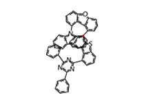 c1ccc(-c2nc(-c3ccccc3)nc(-c3cccc4sc5c(-c6cccc7oc8cccc(-n9c%10ccccc%10c%10ccccc%109)c8c67)cccc5c34)n2)cc1